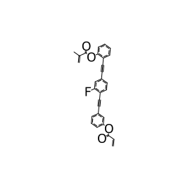 C=CC(=O)Oc1cccc(C#Cc2ccc(C#Cc3ccccc3OC(=O)C(=C)C)cc2F)c1